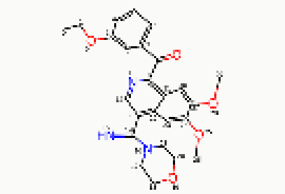 CCOc1cccc(C(=O)c2ncc(C(=N)N3CCOCC3)c3cc(OC)c(OC)cc23)c1